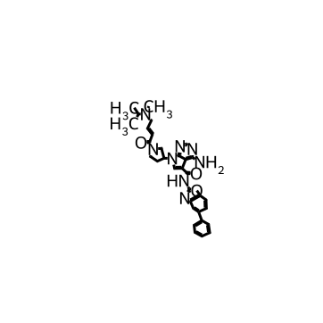 CC(C)N(C)C/C=C/C(=O)N1CCC(n2cc(C(=O)Nc3nc4cc(-c5ccccc5)ccc4o3)c3c(N)ncnc32)C1